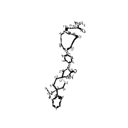 CN(C)[C@]1(c2ccccc2)CC[C@]2(CC1)CN(c1cnc(N3CCN(CC(N)=O)CC3)nc1)C(=O)N2